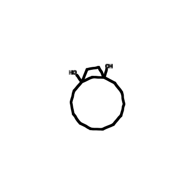 OC12CCCCCCCCCCCC(O)(CC1)C2